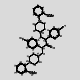 COc1ccccc1N1CCN(CC(C(=O)C(CN2CCN(c3ccccc3OC)CC2)c2ccc(F)cc2)c2ccc(F)cc2)CC1